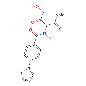 CNC(=O)C(C(=O)NO)N(C)C(=O)c1ccc(-n2cccc2)cc1